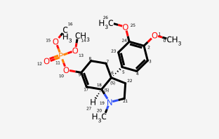 COc1ccc([C@@]23CCC(OP(=O)(OC)OC)=C[C@@H]2N(C)CC3)cc1OC